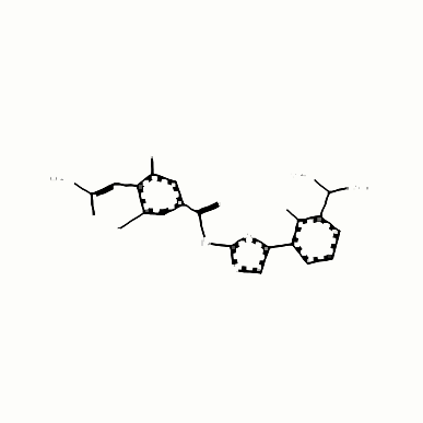 CCCCCCCCCC(OC)c1cccc(-c2csc(NC(=O)c3cc(Cl)c(C=C(OC)C(=O)O)c(Cl)c3)n2)c1F